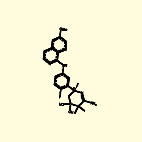 COc1cnc2c(Nc3ccc(F)c([C@]4(C)CS(O)(O)C(C)(C)C(N)=N4)c3)nccc2c1